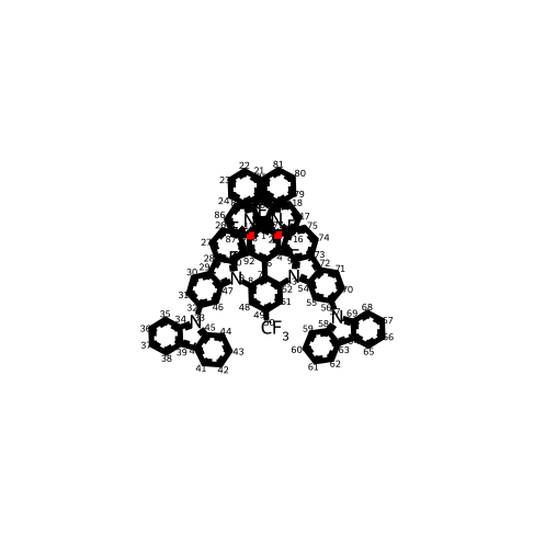 Fc1c(F)c(F)c(-c2c(-n3c4cc(-n5c6ccccc6c6ccccc65)ccc4c4ccc(-n5c6ccccc6c6ccccc65)cc43)cc(C(F)(F)F)cc2-n2c3cc(-n4c5ccccc5c5ccccc54)ccc3c3ccc(-n4c5ccccc5c5ccccc54)cc32)c(F)c1F